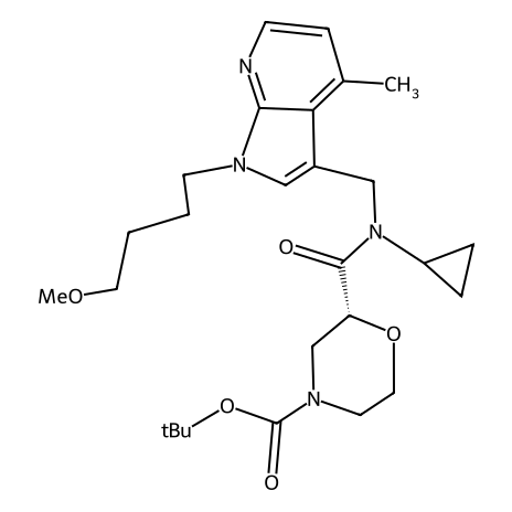 COCCCCn1cc(CN(C(=O)[C@H]2CN(C(=O)OC(C)(C)C)CCO2)C2CC2)c2c(C)ccnc21